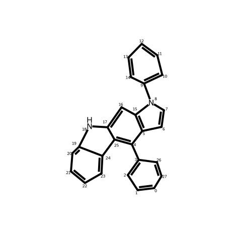 c1ccc(-c2c3ccn(-c4ccccc4)c3cc3[nH]c4ccccc4c23)cc1